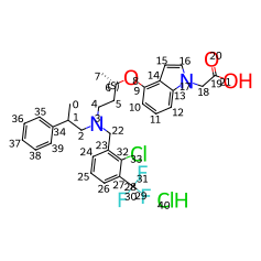 CC(CN(CC[C@H](C)Oc1cccc2c1ccn2CC(=O)O)Cc1cccc(C(F)(F)F)c1Cl)c1ccccc1.Cl